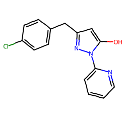 Oc1cc(Cc2ccc(Cl)cc2)nn1-c1ccccn1